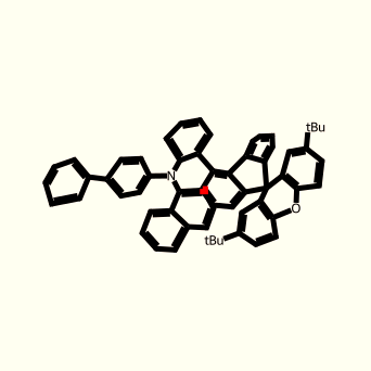 CC(C)(C)c1ccc2c(c1)C1(c3cc(C(C)(C)C)ccc3O2)c2ccccc2-c2c(-c3ccccc3N(c3ccc(-c4ccccc4)cc3)c3cccc4ccccc34)cccc21